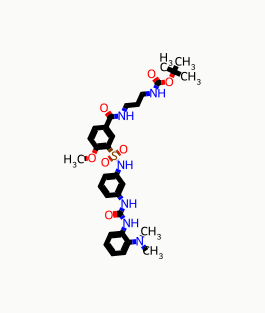 COc1ccc(C(=O)NCCCNC(=O)OC(C)(C)C)cc1S(=O)(=O)Nc1cccc(NC(=O)Nc2ccccc2N(C)C)c1